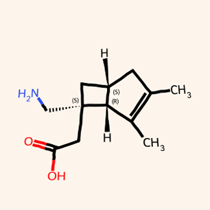 CC1=C(C)[C@H]2[C@@H](C1)C[C@]2(CN)CC(=O)O